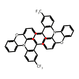 FC(F)(F)c1ccc(N2c3ccccc3Oc3ccccc32)c(-c2ccc(-c3cc(C(F)(F)F)ccc3N3c4ccccc4Oc4ccccc43)cc2)c1